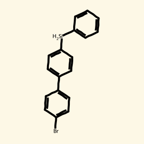 Brc1ccc(-c2ccc([SiH2]c3ccccc3)cc2)cc1